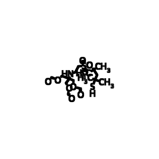 CC(C)(S)CC(C)(C)OS(=O)(=O)CCNC(COC=O)(COC=O)COC=O